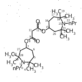 CCCN1C(C)(C)CCC(OC(=O)CC(=O)OC2CCC(C)(C)N(CCC)C(C)(C)C2)CC1(C)C